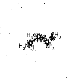 Cc1cn(-c2cc(NC(=O)c3ccc(C)c(C#Cc4cnc(N)c(Cl)c4)c3)cc(C(F)(F)F)c2)cn1